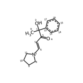 CC(O)(C(=O)C=CN1CCCC1)c1ccccc1